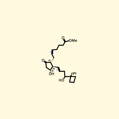 CCCC1(C(O)C/C=C/[C@H]2[C@H](O)CC(=O)[C@@H]2C/C=C\CCCC(=O)OC)CCC1